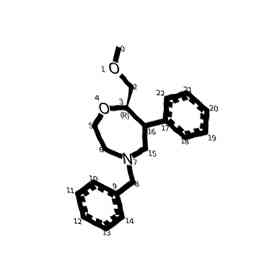 COC[C@@H]1OCCN(Cc2ccccc2)CC1c1ccccc1